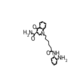 NC(=O)c1cn(CCCCCC(=O)Nc2ccccc2N)c2ccccc2c1=O